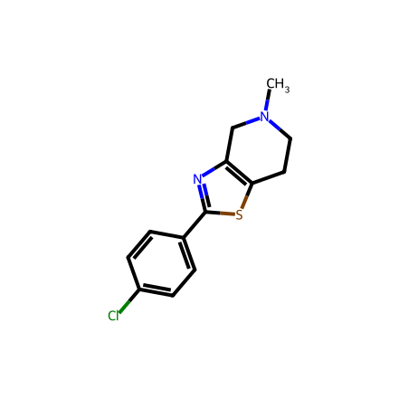 CN1CCc2sc(-c3ccc(Cl)cc3)nc2C1